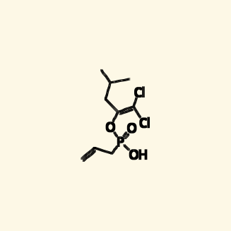 C=CCP(=O)(O)OC(CC(C)C)=C(Cl)Cl